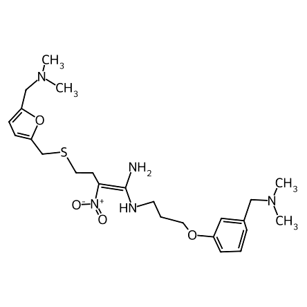 CN(C)Cc1cccc(OCCCNC(N)=C(CCSCc2ccc(CN(C)C)o2)[N+](=O)[O-])c1